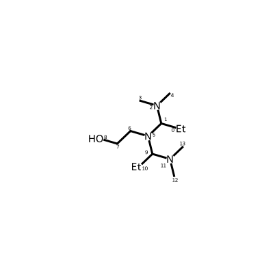 CCC(N(C)C)N(CCO)C(CC)N(C)C